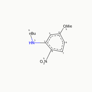 CCCCNc1cc(OC)ccc1[N+](=O)[O-]